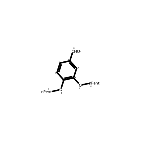 CCCCCOc1ccc([C]=O)cc1OCCCCC